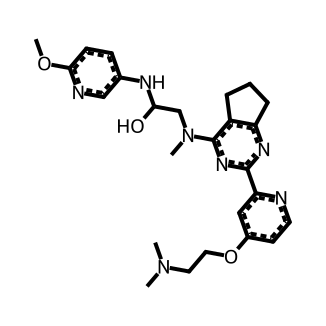 COc1ccc(NC(O)CN(C)c2nc(-c3cc(OCCN(C)C)ccn3)nc3c2CCC3)cn1